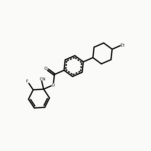 CCC1CCC(c2ccc(C(=O)OC3(C#N)C=CC=CC3F)cc2)CC1